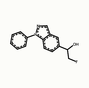 OC(CF)c1ccc2c(cnn2-c2ccccc2)c1